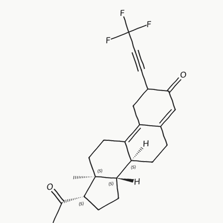 CC(=O)[C@H]1CC[C@H]2[C@@H]3CCC4=CC(=O)C(C#CC(F)(F)F)CC4=C3CC[C@]12C